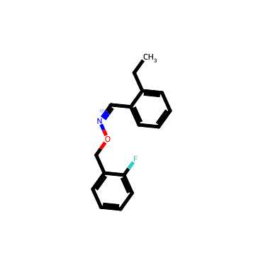 CCc1ccccc1/[C]=N\OCc1ccccc1F